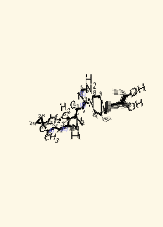 C=C(/C=C(\N=C/N)N1CCN([C@@H](O)CO)CC1)c1n[nH]/c(=C/C=C(\C)OC2(C)CC2)c1=C